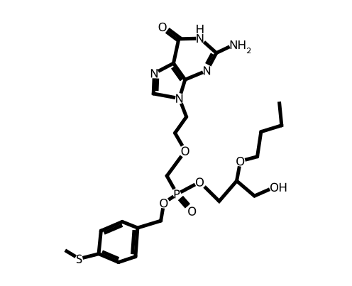 CCCCOC(CO)COP(=O)(COCCn1cnc2c(=O)[nH]c(N)nc21)OCc1ccc(SC)cc1